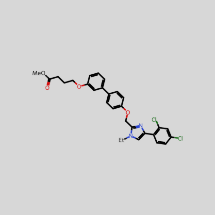 CCn1cc(-c2ccc(Cl)cc2Cl)nc1COc1ccc(-c2cccc(OCCCC(=O)OC)c2)cc1